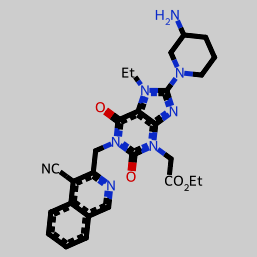 CCOC(=O)Cn1c(=O)n(Cc2ncc3ccccc3c2C#N)c(=O)c2c1nc(N1CCCC(N)C1)n2CC